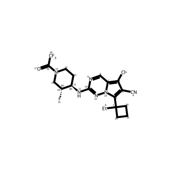 CCC1(c2c(C#N)c(Cl)c3cnc(N[C@@H]4CCN(C(=O)C(F)(F)F)C[C@H]4F)nn23)CCC1